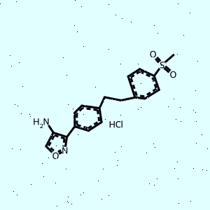 CS(=O)(=O)c1ccc(CCc2ccc(-c3nocc3N)cc2)cc1.Cl